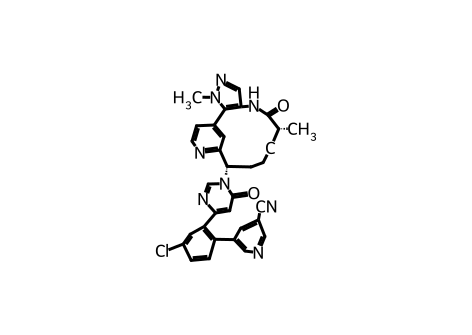 C[C@@H]1CCC[C@H](n2cnc(-c3cc(Cl)ccc3-c3cncc(C#N)c3)cc2=O)c2cc(ccn2)-c2c(cnn2C)NC1=O